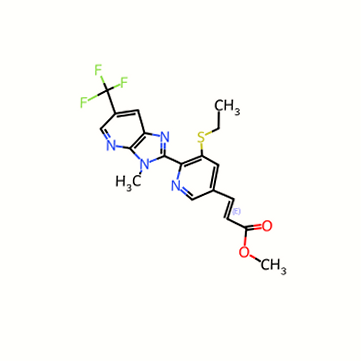 CCSc1cc(/C=C/C(=O)OC)cnc1-c1nc2cc(C(F)(F)F)cnc2n1C